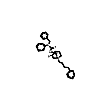 O=C(O[C@H]1C[N+]2(CCCCc3ccccc3)CCC1CC2)N(Cc1ccccc1)c1ccccc1